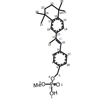 COP(=O)(O)OCc1ccc(/C=C(\C)c2ccc3c(c2)C(C)(C)CCC3(C)C)cc1